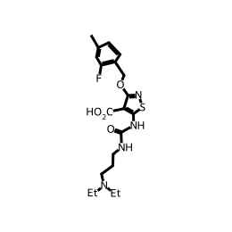 CCN(CC)CCCNC(=O)Nc1snc(OCc2ccc(C)cc2F)c1C(=O)O